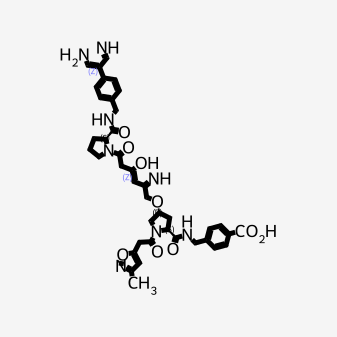 Cc1cc(CC(=O)N2C[C@H](OCC(=N)/C=C(\O)CC(=O)N3CCC[C@H]3C(=O)NCc3ccc(/C(C=N)=C/N)cc3)C[C@H]2C(=O)NCc2ccc(C(=O)O)cc2)on1